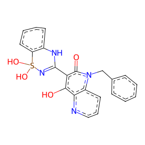 O=c1c(C2=NS(O)(O)c3ccccc3N2)c(O)c2ncccc2n1Cc1ccccc1